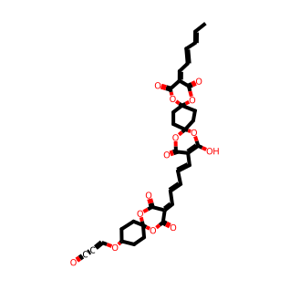 C/C=C/C=C/C=C1C(=O)OC2(CCC3(CC2)OC(=O)C(/C=C/C=C/C=C2C(=O)OC4(CCC(OC=C=C=O)CC4)OC2=O)=C(O)O3)OC1=O